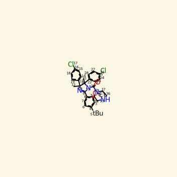 CCOc1cc(C(C)(C)C)ccc1C1=NC(C)(c2ccc(Cl)cc2)C(C)(c2ccc(Cl)cc2)N1C(=O)N1CCNCC1